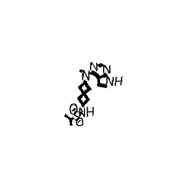 CC(C)S(=O)(=O)NC1CC2(C1)CC(N(C)c1ncnc3[nH]ccc13)C2